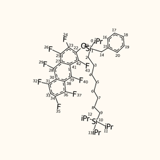 CC(C)[Si](CCCCCCCC[Si](C(C)C)(C(C)C)C(C)C)(Cc1ccccc1)Oc1c(F)c(F)c2c(F)c3c(F)[c]c(F)c(F)c3c(F)c2c1F